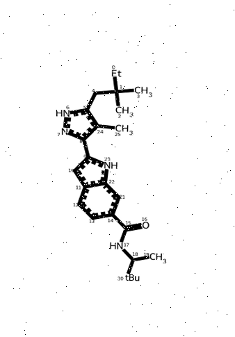 CCC(C)(C)Cc1[nH]nc(-c2cc3ccc(C(=O)NC(C)C(C)(C)C)cc3[nH]2)c1C